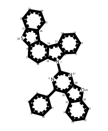 c1ccc(-c2nc(-n3c4ccccc4c4c5c(ccc43)sc3ccccc35)nc3oc4ccccc4c23)cc1